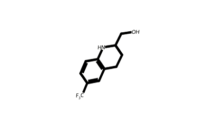 OCC1CCc2cc(C(F)(F)F)ccc2N1